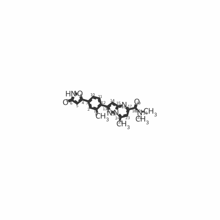 Cc1cc(-c2cc(=O)[nH]o2)ccc1-c1cc2nc(C(=O)N(C)C)cc(C)n2n1